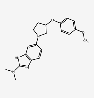 CN(C)c1nc2ccc(N3CCC(Oc4ccc(OC(F)(F)F)cc4)C3)cc2[nH]1